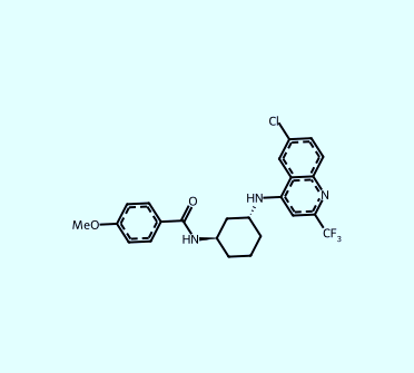 COc1ccc(C(=O)N[C@@H]2CCC[C@@H](Nc3cc(C(F)(F)F)nc4ccc(Cl)cc34)C2)cc1